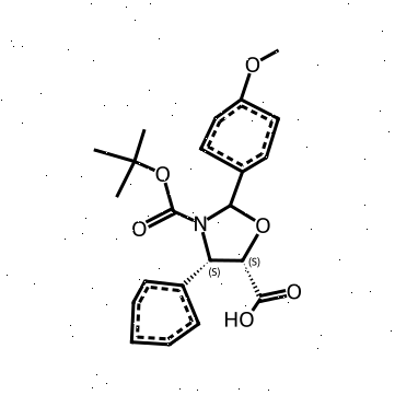 COc1ccc(C2O[C@H](C(=O)O)[C@H](c3ccccc3)N2C(=O)OC(C)(C)C)cc1